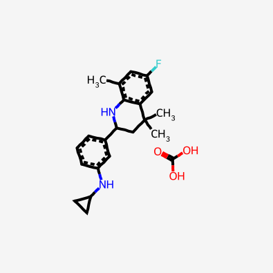 Cc1cc(F)cc2c1NC(c1cccc(NC3CC3)c1)CC2(C)C.O=C(O)O